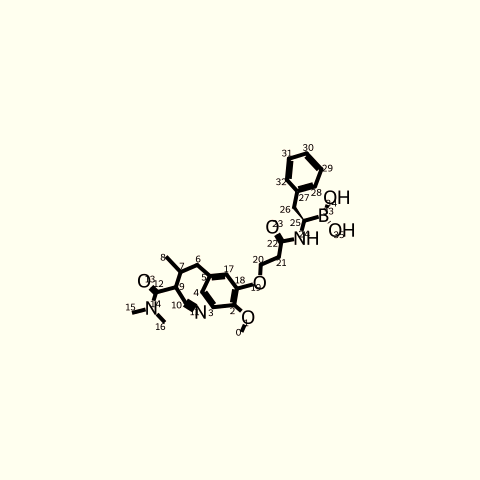 COc1ccc(CC(C)C(C#N)C(=O)N(C)C)cc1OCCC(=O)N[C@@H](Cc1ccccc1)B(O)O